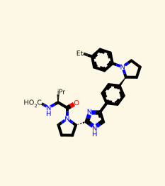 CCc1ccc(N2CCC[C@H]2c2ccc(-c3c[nH]c([C@@H]4CCCN4C(=O)[C@@H](NC(=O)O)C(C)C)n3)cc2)cc1